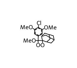 COc1cc(C2(OC)OOC23C2CC4CC(C2)CC3C4)cc(OC)c1Cl